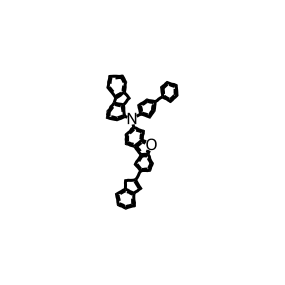 C1=C(c2ccc3oc4cc(N(c5ccc(-c6ccccc6)cc5)c5cccc6c5Cc5ccccc5-6)ccc4c3c2)Cc2ccccc21